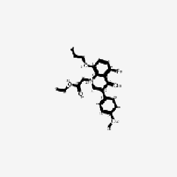 CCCOc1ccc(F)c2c(=O)c(C3=CC=C(OC)CC3)cn(CC(=O)OCC)c12